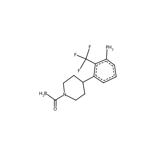 BC(=O)N1CCC(c2cccc(P)c2C(F)(F)F)CC1